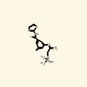 CC(CO[Si](C)(C)C(C)(C)C)Oc1cc(I)cc(C(=O)Nc2nccs2)c1